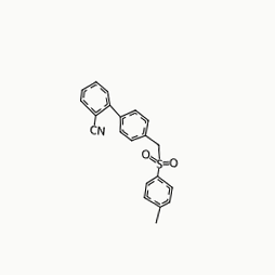 Cc1ccc(S(=O)(=O)Cc2ccc(-c3ccccc3C#N)cc2)cc1